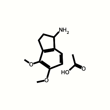 CC(=O)O.COc1ccc2c(c1OC)CCC2N